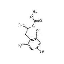 Cc1cc(O)cc(C)c1CC(C=O)[N]C(=O)OC(C)(C)C